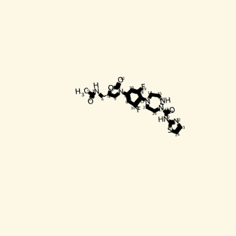 CC(=O)NC[C@H]1CN(c2cc(F)c(N3CCNN(C(=O)Nc4nccs4)CC3)c(F)c2)C(=O)O1